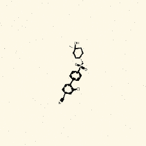 C[C@]1(O)CC[C@H](CS(=O)(=O)c2ccc(-c3ccc(C#N)cc3Cl)cc2)CC1